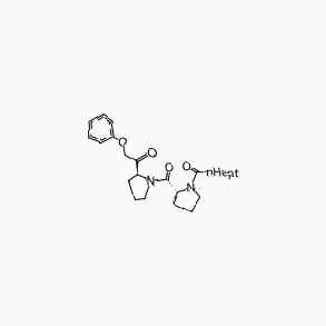 CCCCCCCC(=O)N1CCC[C@@H]1C(=O)N1CCC[C@H]1C(=O)COc1ccccc1